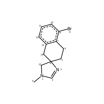 CN1C=NC2(CCc3c(Br)cccc3C2)C1